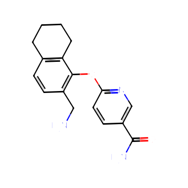 NCc1ccc2c(c1Oc1ccc(C(N)=O)cn1)CCCC2